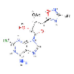 CCc1noc([C@H]2O[C@@H](n3cnc4c(N)nc(Cl)nc43)[C@H](O)[C@@H]2OC(C)=O)n1